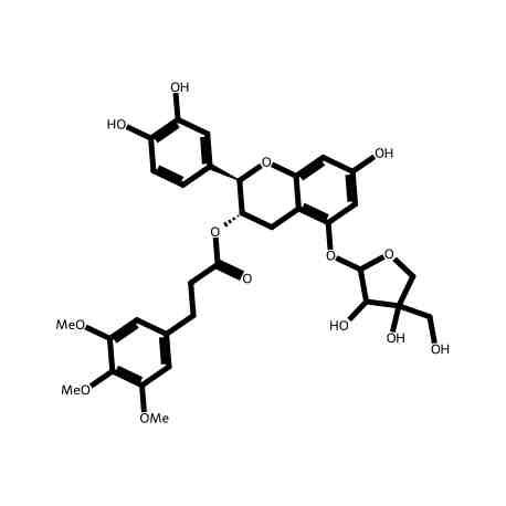 COc1cc(CCC(=O)O[C@H]2Cc3c(OC4OCC(O)(CO)C4O)cc(O)cc3O[C@@H]2c2ccc(O)c(O)c2)cc(OC)c1OC